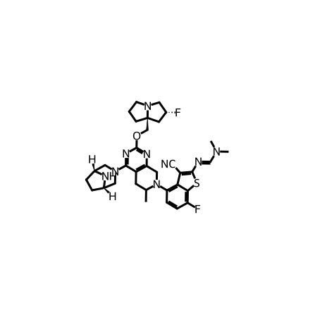 CC1Cc2c(nc(OC[C@@]34CCCN3C[C@H](F)C4)nc2N2C[C@H]3CC[C@@H](C2)N3)CN1c1ccc(F)c2sc(/N=C/N(C)C)c(C#N)c12